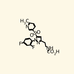 Cc1ccc(S(=O)(=O)c2cc(CCNC(=O)O)nn2-c2ccc(F)cc2F)cn1